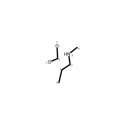 CCCNC.[O]C[O]